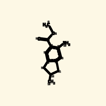 COC(=O)c1cc2c(cc1N)CC(C)C2